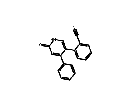 N#Cc1ccccc1-c1c[nH]c(=O)cc1-c1ccccc1